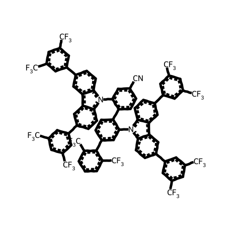 N#Cc1ccc(-c2ccc(-c3c(C(F)(F)F)cccc3C(F)(F)F)cc2-n2c3ccc(-c4cc(C(F)(F)F)cc(C(F)(F)F)c4)cc3c3cc(-c4cc(C(F)(F)F)cc(C(F)(F)F)c4)ccc32)c(-n2c3ccc(-c4cc(C(F)(F)F)cc(C(F)(F)F)c4)cc3c3cc(-c4cc(C(F)(F)F)cc(C(F)(F)F)c4)ccc32)c1